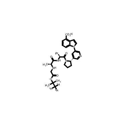 [2H]C([2H])([2H])C(C)(C)OC(=O)CN[C@@H](C)C(=O)N[C@H](C(=O)N1CCC[C@H]1c1cncc(-n2ccc3c(C(=O)O)cccc32)c1)C(C)C